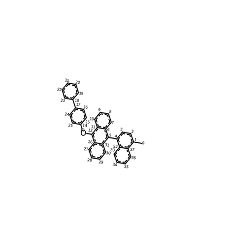 Cc1ccc(-c2c3ccccc3c(Oc3ccc(-c4ccccc4)cc3)c3ccccc23)c2ccccc12